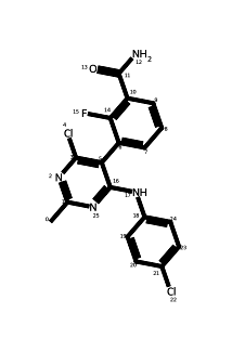 Cc1nc(Cl)c(-c2cccc(C(N)=O)c2F)c(Nc2ccc(Cl)cc2)n1